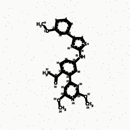 COc1cccc(-c2csc(Nc3ccc(C(N)=O)c(-c4cc(OC)nc(OC)n4)c3)n2)c1